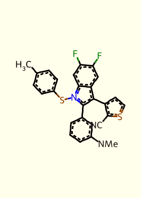 CNc1cccc(-c2c(-c3ccsc3C#N)c3cc(F)c(F)cc3n2Sc2ccc(C)cc2)c1